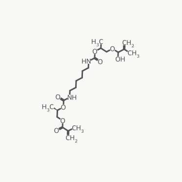 C=C(C)C(=O)OC[C@@H](C)OC(=O)NCCCCCCNC(=O)OC(C)COC(O)C(=C)C